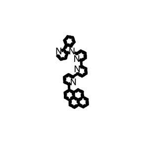 c1cc(-c2cccc(-c3ccc4ccc5cccc6ccc3c4c56)n2)nc(-c2cccc(-n3c4ccccc4c4ncccc43)n2)c1